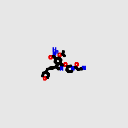 CC(C)Oc1cc2c(O[C@@H]3CCCN(C(=O)CC#N)C3)ncc(C#CCC3CCOCC3)c2cc1C(N)=O